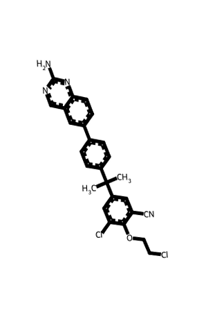 CC(C)(c1ccc(-c2ccc3nc(N)ncc3c2)cc1)c1cc(Cl)c(OCCCl)c(C#N)c1